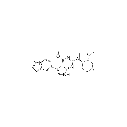 COc1nc(N[C@@H]2CCOC[C@H]2OC)nc2[nH]cc(-c3ccn4nccc4c3)c12